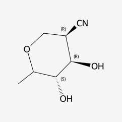 CC1OC[C@@H](C#N)[C@@H](O)[C@@H]1O